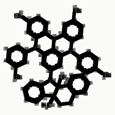 CC(C)(C)c1ccc(N2c3ccc(C(C)(C)C)cc3B3c4ccc(C(C)(C)C)cc4N(c4cccc(C(C)(C)C)c4)c4cc(N5c6ccccc6C6(C)CCc7ccccc7C56C)cc2c43)cc1